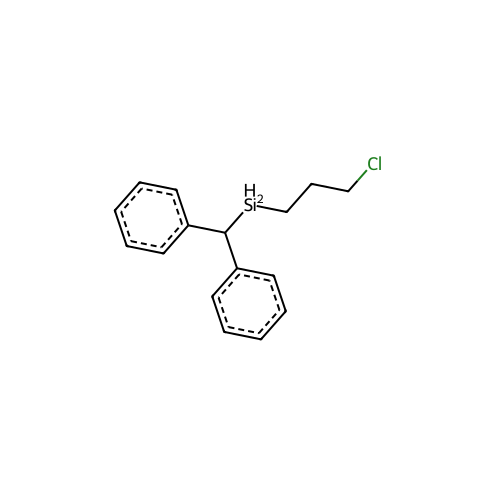 ClCCC[SiH2]C(c1ccccc1)c1ccccc1